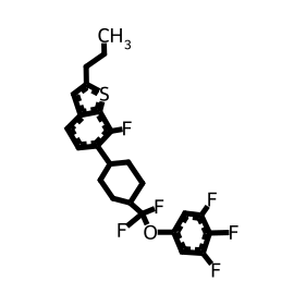 CCCc1cc2ccc(C3CCC(C(F)(F)Oc4cc(F)c(F)c(F)c4)CC3)c(F)c2s1